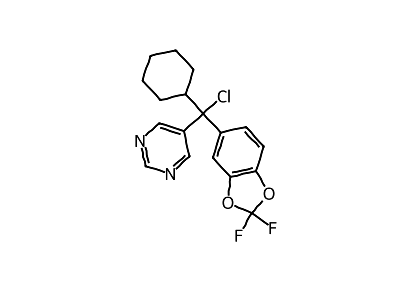 FC1(F)Oc2ccc(C(Cl)(c3cncnc3)C3CCCCC3)cc2O1